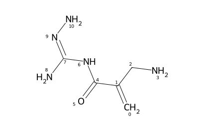 C=C(CN)C(=O)N/C(N)=N\N